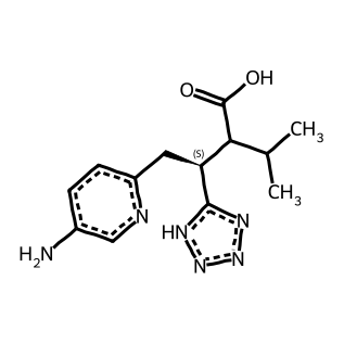 CC(C)C(C(=O)O)[C@H](Cc1ccc(N)cn1)c1nnn[nH]1